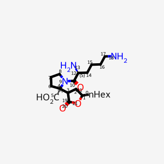 CCCCCCC1CC([C@@]2(C(=O)O)CCCN2C(=O)[C@@H](N)CCCCN)C(=O)O1